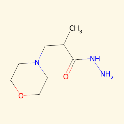 CC(CN1CCOCC1)C(=O)NN